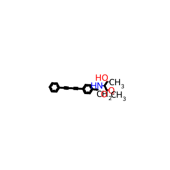 C=C(N[C@H](C(=O)OC)[C@@H](C)O)c1ccc(C#CC#Cc2ccccc2)cc1